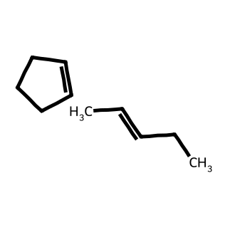 C/C=C/CC.C1=CCCC1